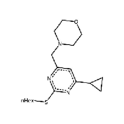 CCCCCCSc1nc(CN2CCOCC2)cc(C2CC2)n1